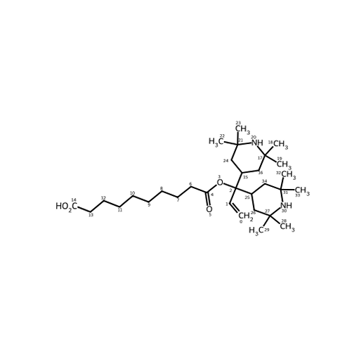 C=CC(OC(=O)CCCCCCCCC(=O)O)(C1CC(C)(C)NC(C)(C)C1)C1CC(C)(C)NC(C)(C)C1